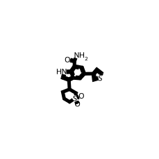 NC(=O)c1cc(-c2ccsc2)cc2c(C3CCCS(=O)(=O)C3)c[nH]c12